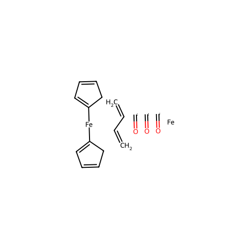 C1=CC[C]([Fe][C]2=CC=CC2)=C1.C=CC=C.[C]=O.[C]=O.[C]=O.[Fe]